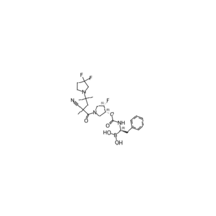 CC(C#N)(CC(C)(C)N1CCC(F)(F)C1)C(=O)N1C[C@H](F)[C@H](OC(=O)N[C@@H](Cc2ccccc2)B(O)O)C1